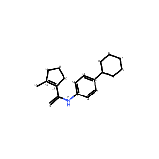 C=C(Nc1ccc(C2CCCCC2)cc1)C1=C(C)CCC1